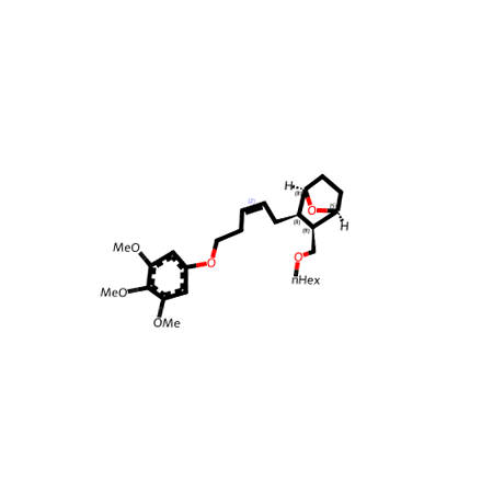 CCCCCCOC[C@H]1[C@@H](C/C=C\CCOc2cc(OC)c(OC)c(OC)c2)[C@H]2CC[C@@H]1O2